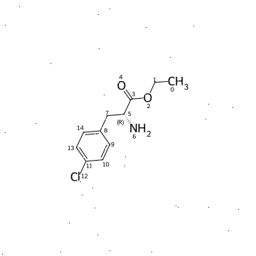 CCOC(=O)[C@H](N)Cc1ccc(Cl)cc1